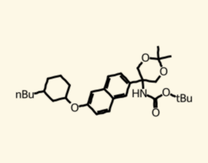 CCCCC1CCCC(Oc2ccc3cc(C4(NC(=O)OC(C)(C)C)COC(C)(C)OC4)ccc3c2)C1